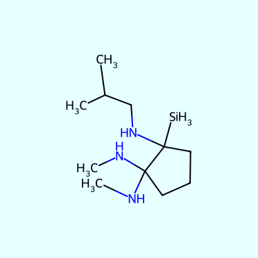 CNC1(NC)CCCC1([SiH3])NCC(C)C